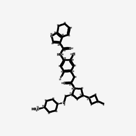 CC1CN([C@H]2C[C@@H](CO[C@H]3CC[C@H](C(=O)O)CC3)N(C(=O)Cc3cc(Cl)c(NC(=O)c4coc5c4C=CCC5)cc3F)C2)C1